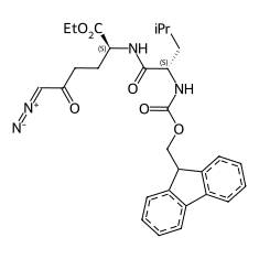 CCOC(=O)[C@H](CCC(=O)C=[N+]=[N-])NC(=O)[C@H](CC(C)C)NC(=O)OCC1c2ccccc2-c2ccccc21